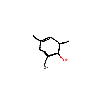 CC1=CC(C)C(O)C(C(C)C)C1